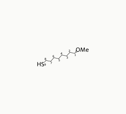 COCCCCCCCCS